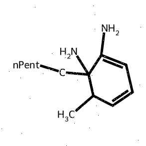 CCCCCCC1(N)C(N)=CC=CC1C